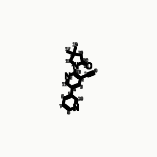 C#Cc1cc(-c2cccnc2)cnc1N1CC(C)(C)CC1=O